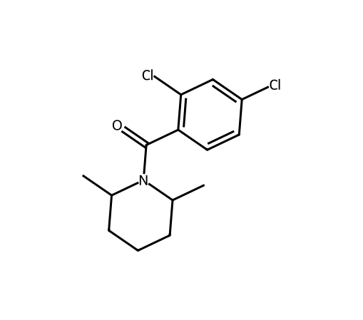 CC1CCCC(C)N1C(=O)c1ccc(Cl)cc1Cl